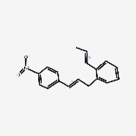 [CH2]/C=C/c1ccccc1C/C=C/c1ccc([N+](=O)[O-])cc1